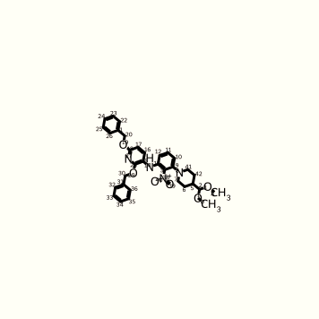 COC(OC)C1CCN(c2cccc(Nc3ccc(OCc4ccccc4)nc3OCc3ccccc3)c2[N+](=O)[O-])CC1